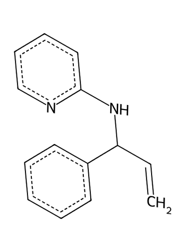 C=CC(Nc1ccccn1)c1ccccc1